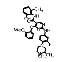 COc1ccccc1Oc1nc(Nc2ccc(N3CCN(C)C(C)C3)c(F)c2)ncc1C(=O)Nc1c(C)cccc1C